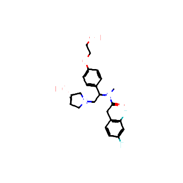 CN(C(=O)Cc1ccc(F)cc1F)C(CN1CC[C@H](O)C1)c1ccc(OCCO)cc1